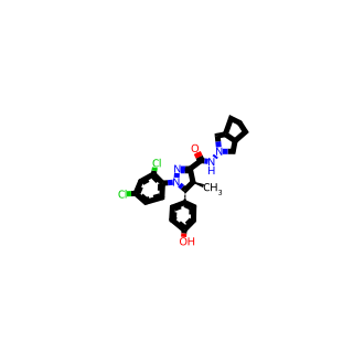 C[C@@H]1C(C(=O)NN2CC3CCCC3C2)=NN(c2ccc(Cl)cc2Cl)[C@H]1c1ccc(O)cc1